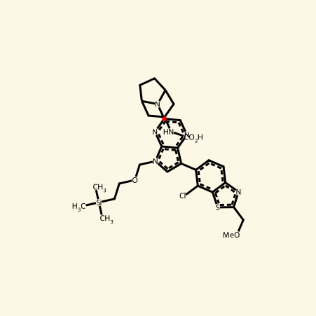 COCc1nc2ccc(-c3cn(COCC[Si](C)(C)C)c4nc(N5C6CCC5CC(NC(=O)O)C6)cnc34)c(Cl)c2s1